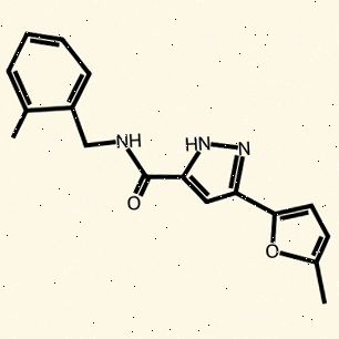 Cc1ccc(-c2cc(C(=O)NCc3ccccc3C)[nH]n2)o1